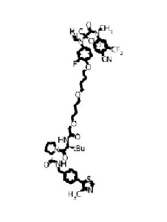 Cc1ncsc1-c1ccc(CNC(=O)[C@@H]2CCCN2C(=O)[C@@H](NC(=O)COCCCCOCCCCOc2ccc(N(C=S)C(C)(C)C(=O)N(C)c3ccc(C#N)c(C(F)(F)F)c3)cc2F)C(C)(C)C)cc1